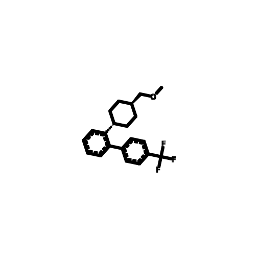 COC[C@H]1CC[C@H](c2ccccc2-c2ccc(C(F)(F)F)cc2)CC1